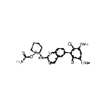 COc1cc(OC)c(Cl)c(-c2ccc3nc(N[C@@H]4CCCC[C@@H]4OC(N)=O)ncc3c2)c1Cl